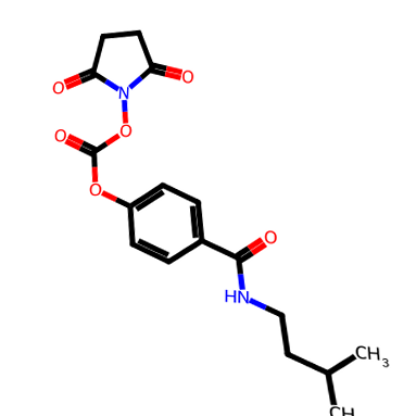 CC(C)CCNC(=O)c1ccc(OC(=O)ON2C(=O)CCC2=O)cc1